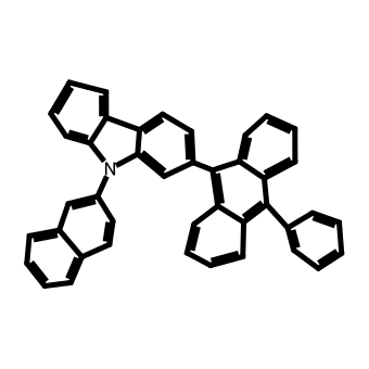 c1ccc(-c2c3ccccc3c(-c3ccc4c5ccccc5n(-c5ccc6ccccc6c5)c4c3)c3ccccc23)cc1